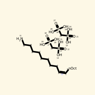 CCCCCCCC/C=C\CCCCCCCCN.O=P(O)(O)CP(=O)(O)O.O=P(O)(O)CP(=O)(O)O